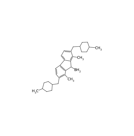 BC1c2c(ccc(CC3CCC(C)CC3)c2C)-c2ccc(CC3CCC(C)CC3)c(C)c21